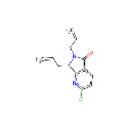 C=CCC1c2nc(Cl)ccc2C(=O)N1CC=C